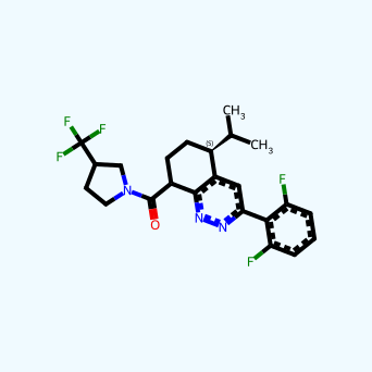 CC(C)[C@@H]1CCC(C(=O)N2CCC(C(F)(F)F)C2)c2nnc(-c3c(F)cccc3F)cc21